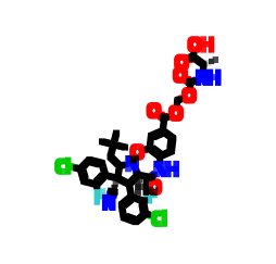 C[C@H](NC(=O)OCOC(=O)c1ccc2c(c1)ON1C(CC(C)(C)C)[C@](C#N)(c3ccc(Cl)cc3F)C(c3cccc(Cl)c3F)[C@@H]1C(=O)N2)C(=O)O